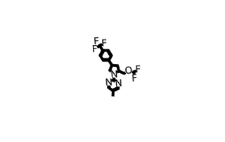 Cc1cnc(N2CC(c3ccc(C(F)(F)F)cc3)CC2COC(F)F)nc1